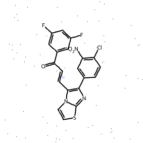 O=C(/C=C/c1c(-c2ccc(Cl)c([N+](=O)[O-])c2)nc2sccn12)c1cc(F)cc(F)c1